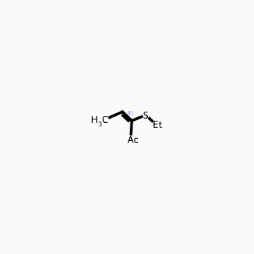 C/C=C(/SCC)C(C)=O